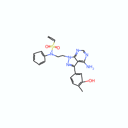 C=CS(=O)(=O)N(CCn1nc(-c2ccc(C)c(O)c2)c2c(N)ncnc21)c1ccccc1